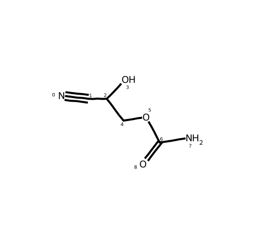 N#CC(O)COC(N)=O